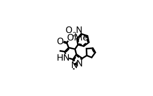 COC(=O)C1=C(C)Nc2c(c(C3CC=CC3)nn2C)C1c1cccc([N+](=O)[O-])c1